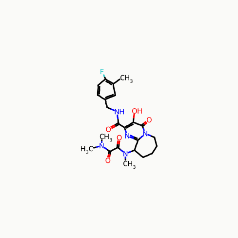 Cc1cc(CNC(=O)c2nc3n(c(=O)c2O)CCCCC3N(C)C(=O)C(=O)N(C)C)ccc1F